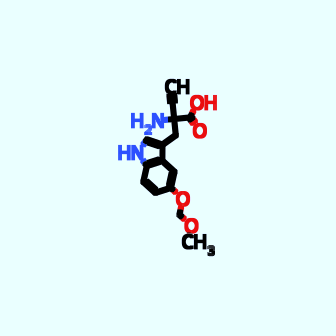 C#CC(N)(Cc1c[nH]c2ccc(OCOC)cc12)C(=O)O